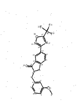 COc1cncc(CN2Cc3ccc(-c4noc(C(F)(F)F)n4)cc3C2=O)c1